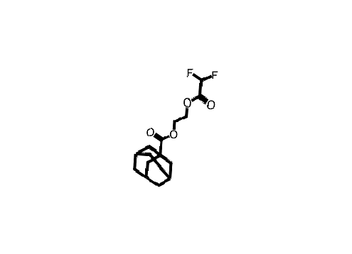 O=C(OCCOC(=O)C12CC3CC(CC(C3)C1)C2)C(F)F